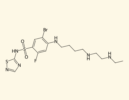 CCNCCNCCCCNc1cc(F)c(S(=O)(=O)Nc2ncns2)cc1Br